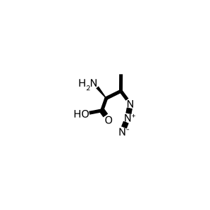 CC(N=[N+]=[N-])[C@H](N)C(=O)O